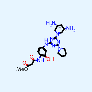 COC(=O)CC(=O)Nc1ccc(Nc2nc(N3CCCCC3)nc(N3C[C@H](N)C[C@H](N)C3)n2)cc1O